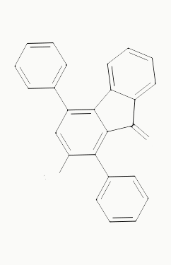 CC(=O)Oc1cc(-c2ccccc2)c2c(c1-c1ccccc1)C(=O)c1ccccc1-2